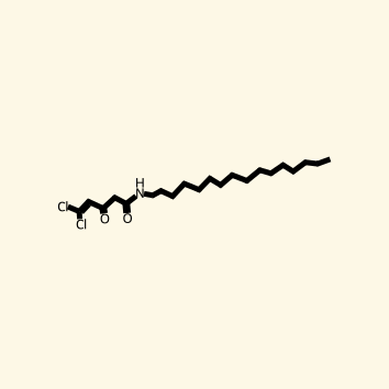 CCCCCCCCCCCCCCCCNC(=O)CC(=O)C=C(Cl)Cl